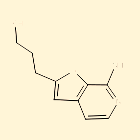 CCCCc1cc2ccnc(N)c2o1